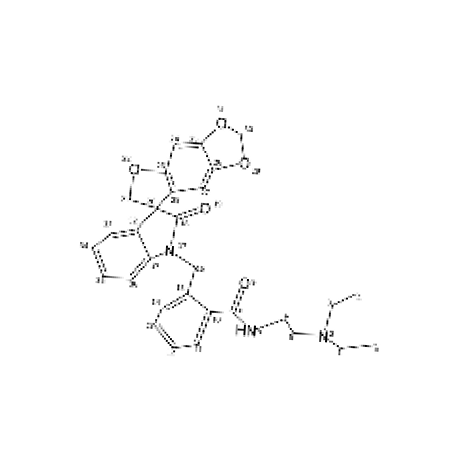 CCN(CC)CCNC(=O)c1ccccc1CN1C(=O)C2(COc3cc4c(cc32)OCO4)c2ccccc21